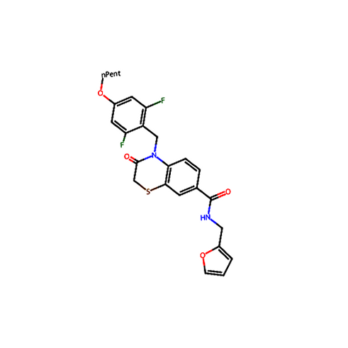 CCCCCOc1cc(F)c(CN2C(=O)CSc3cc(C(=O)NCc4ccco4)ccc32)c(F)c1